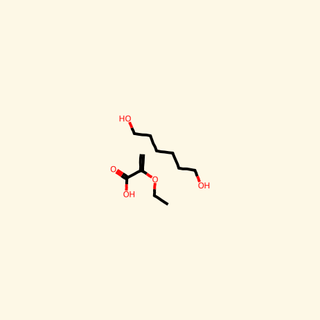 C=C(OCC)C(=O)O.OCCCCCCO